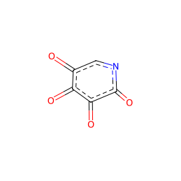 O=c1cnc(=O)c(=O)c1=O